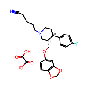 N#CCCCCN1CC[C@@H](c2ccc(F)cc2)[C@H](COc2ccc3c(c2)OCO3)C1.O=C(O)C(=O)O